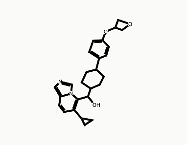 OC(c1c(C2CC2)ccc2cncn12)C1CCC(c2ccc(OC3COC3)cc2)CC1